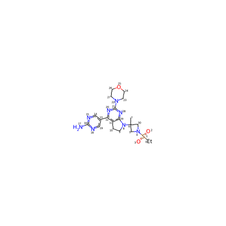 CCS(=O)(=O)N1CC(C)(N2CCc3c(-c4cnc(N)nc4)nc(N4CCOCC4)nc32)C1